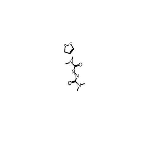 C1=CSSC1.CN(C)C(=O)N=NC(=O)N(C)C